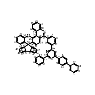 c1ccc(-c2ccc(-c3cc(-c4cccc(-c5nc6ccccc6c6c7c(ccc56)C5(c6ccccc6O7)c6ccccc6-c6ccccc65)c4)nc(-c4ccccc4)n3)cc2)cc1